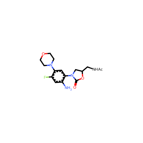 CC(=O)NCC1CN(c2cc(N3CCOCC3)c(F)cc2N)C(=O)O1